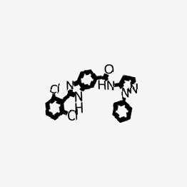 O=C(Nc1ccnn1-c1ccccc1)c1ccc2nc(-c3c(Cl)cccc3Cl)[nH]c2c1